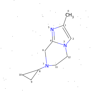 Cc1cn2c(n1)CN(C1CC1)CC2